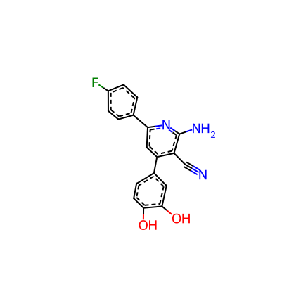 N#Cc1c(-c2ccc(O)c(O)c2)cc(-c2ccc(F)cc2)nc1N